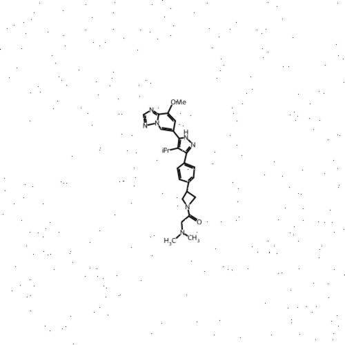 COc1cc(-c2[nH]nc(-c3ccc(C4CN(C(=O)CN(C)C)C4)cc3)c2C(C)C)cn2ncnc12